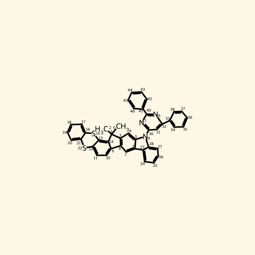 CC1(C)c2cc3c(cc2-c2ccc4c(c21)Sc1ccccc1S4)c1ccccc1n3-c1cc(-c2ccccc2)nc(-c2ccccc2)n1